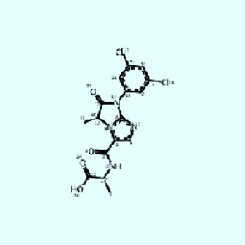 C[C@H](NC(=O)c1cnc2n1[C@@H](C)C(=O)N2c1cc(Cl)cc(Cl)c1)C(=O)O